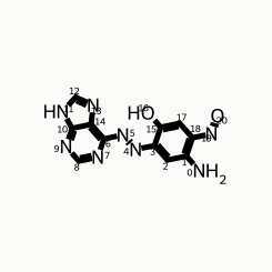 Nc1cc(/N=N/c2ncnc3[nH]cnc23)c(O)cc1N=O